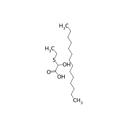 CCCCCCCCCCCCCC.CCSC(O)C(=O)O